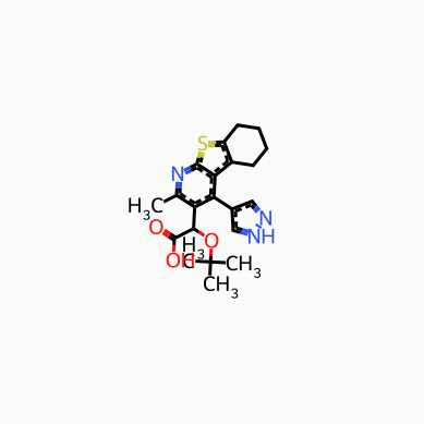 Cc1nc2sc3c(c2c(-c2cn[nH]c2)c1C(OC(C)(C)C)C(=O)O)CCCC3